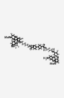 CNc1cc2c(cc1C)N=C1C=C(C)C(NCCCCCCNC(=O)c3ccc(-c4ccc(C(=O)NCCCCCCNc5cc6c(cc5C)nc5cc(C)c(NC)cc5[n+]6-c5ccc(N)cc5N)cc4)cc3)=CC1N2c1ccc(N)cc1N